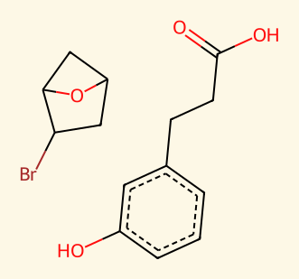 BrC1CC2CC1O2.O=C(O)CCc1cccc(O)c1